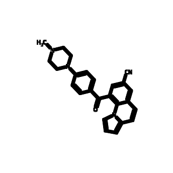 CN1CCN(c2ccc(C(=O)c3cc(C#N)cc4ccc5cccn5c34)cc2)CC1